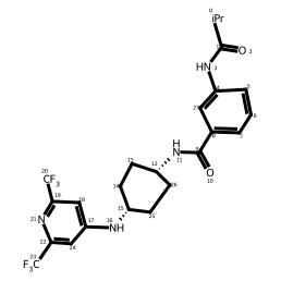 CC(C)C(=O)Nc1cccc(C(=O)N[C@H]2CC[C@@H](Nc3cc(C(F)(F)F)nc(C(F)(F)F)c3)CC2)c1